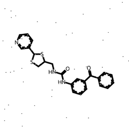 O=C(NCC1CSC(c2cccnc2)S1)Nc1cccc(C(=O)c2ccccc2)c1